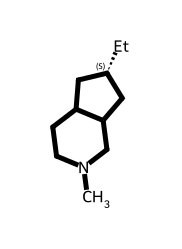 CC[C@H]1CC2CCN(C)CC2C1